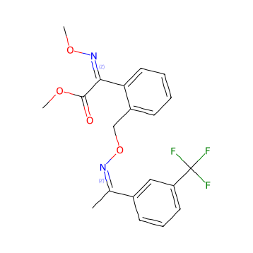 CO/N=C(\C(=O)OC)c1ccccc1CO/N=C(/C)c1cccc(C(F)(F)F)c1